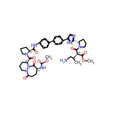 COC(=O)N[C@H]1CCC(=O)N2CCC[C@@H](C(=O)N3CCC[C@H]3C(=O)Nc3ccc(-c4ccc(-c5cnc([C@@H]6CCCN6C(=O)[C@@H](C(=O)OC)C(C)CN)[nH]5)cc4)cc3)N2C1=O